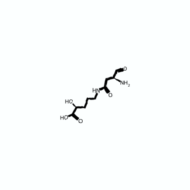 N[C@H](C=O)CC(=O)NCCC[C@H](O)C(=O)O